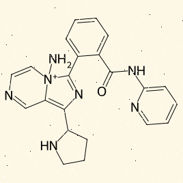 N[N+]12C=CN=CC1=C(C1CCCN1)N=C2c1ccccc1C(=O)Nc1ccccn1